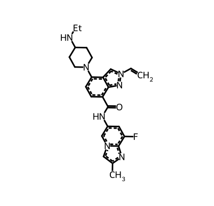 C=Cn1cc2c(N3CCC(NCC)CC3)ccc(C(=O)Nc3cc(F)c4nc(C)cn4c3)c2n1